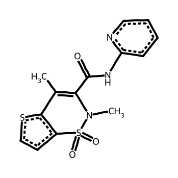 CC1=C(C(=O)Nc2ccccn2)N(C)S(=O)(=O)c2ccsc21